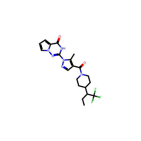 CCC(C1CCN(C(=O)c2cnn(-c3nn4cccc4c(=O)[nH]3)c2C)CC1)C(F)(F)F